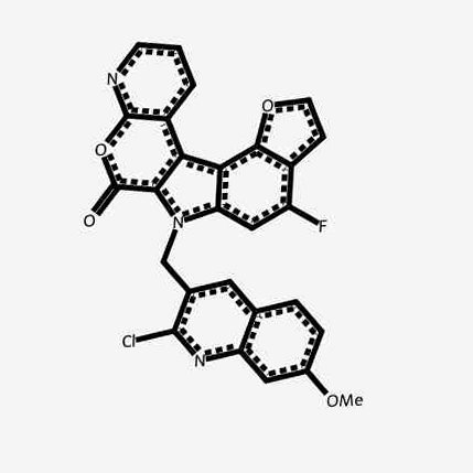 COc1ccc2cc(Cn3c4cc(F)c5ccoc5c4c4c5cccnc5oc(=O)c43)c(Cl)nc2c1